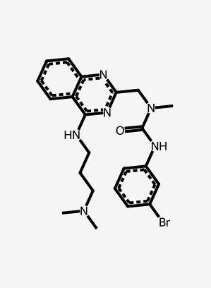 CN(C)CCCNc1nc(CN(C)C(=O)Nc2cccc(Br)c2)nc2ccccc12